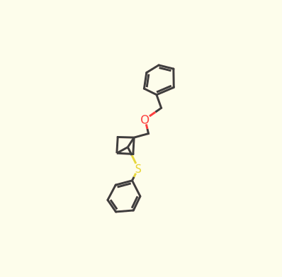 c1ccc(COCC23CC(C2)C3Sc2ccccc2)cc1